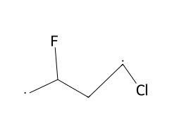 [CH2]C(F)C[CH]Cl